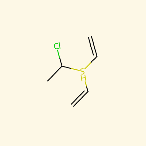 C=C[SH](C=C)C(C)Cl